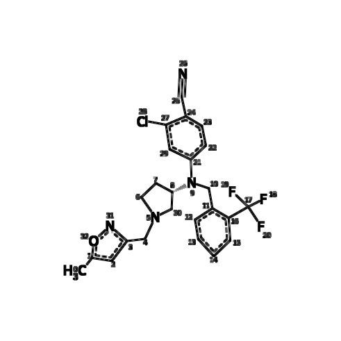 Cc1cc(CN2CC[C@H](N(Cc3ccccc3C(F)(F)F)c3ccc(C#N)c(Cl)c3)C2)no1